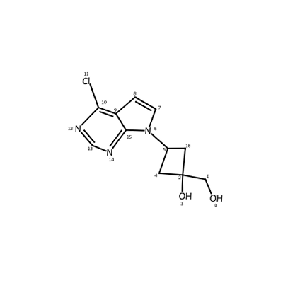 OCC1(O)CC(n2ccc3c(Cl)ncnc32)C1